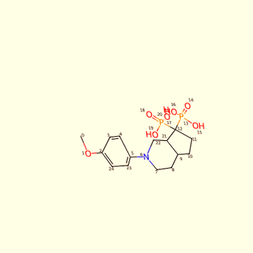 COc1ccc(N2CCC3CCC(P(=O)(O)O)(P(=O)(O)O)C3C2)cc1